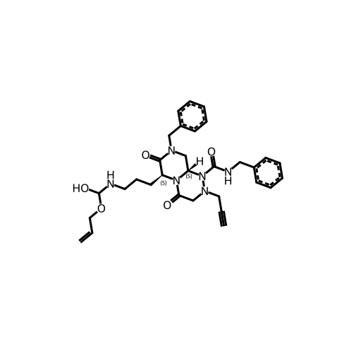 C#CCN1CC(=O)N2[C@@H](CCCNC(O)OCC=C)C(=O)N(Cc3ccccc3)C[C@@H]2N1C(=O)NCc1ccccc1